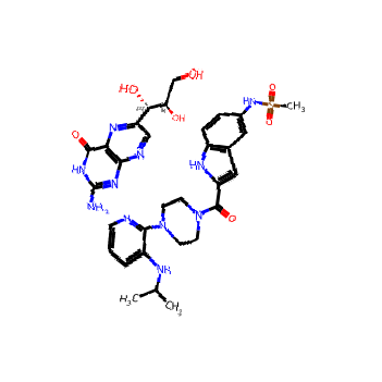 CC(C)Nc1cccnc1N1CCN(C(=O)c2cc3cc(NS(C)(=O)=O)ccc3[nH]2)CC1.Nc1nc2ncc([C@H](O)[C@H](O)CO)nc2c(=O)[nH]1